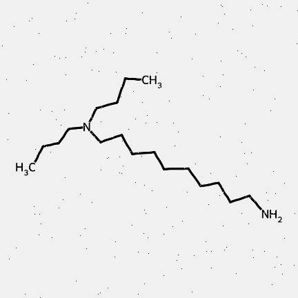 CCCCN(CCCC)CCCCCCCCCCN